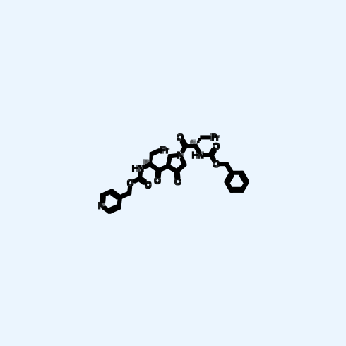 CC(C)C[C@H](NC(=O)OCc1ccncc1)C(=O)C1CN(C(=O)[C@H](CC(C)C)NC(=O)OCc2ccccc2)CC1=O